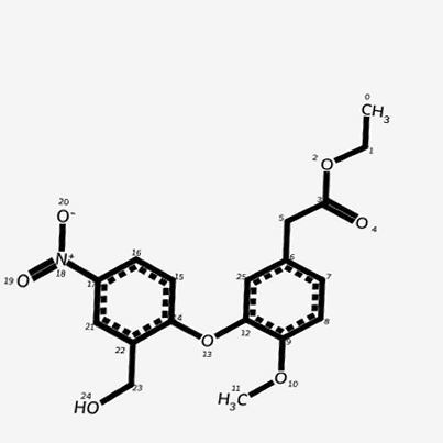 CCOC(=O)Cc1ccc(OC)c(Oc2ccc([N+](=O)[O-])cc2CO)c1